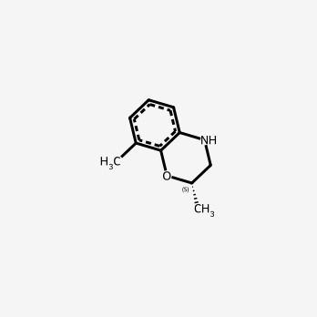 Cc1cccc2c1O[C@@H](C)CN2